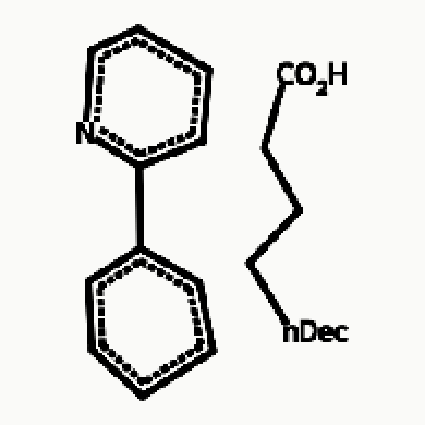 CCCCCCCCCCCCCC(=O)O.c1ccc(-c2ccccn2)cc1